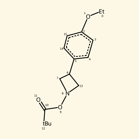 CCOc1ccc(C2CN(OC(=O)C(C)(C)C)C2)cc1